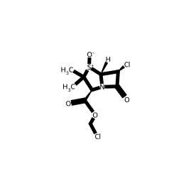 CC1(C)[C@H](C(=O)OCCl)N2C(=O)[C@H](Cl)[C@H]2[S+]1[O-]